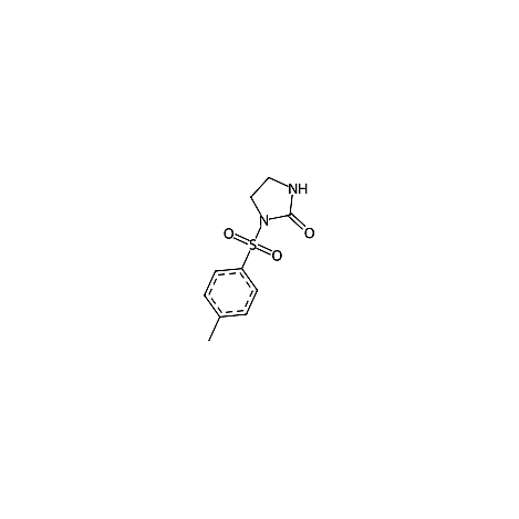 Cc1ccc(S(=O)(=O)N2CCNC2=O)cc1